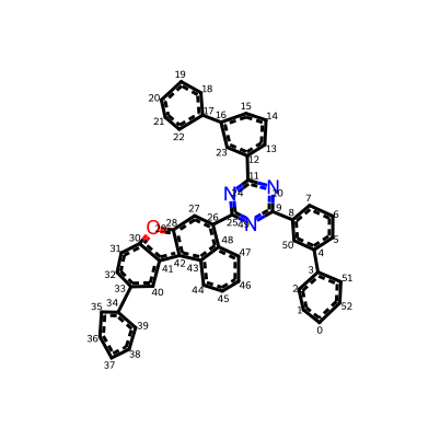 c1ccc(-c2cccc(-c3nc(-c4cccc(-c5ccccc5)c4)nc(-c4cc5oc6ccc(-c7ccccc7)cc6c5c5ccccc45)n3)c2)cc1